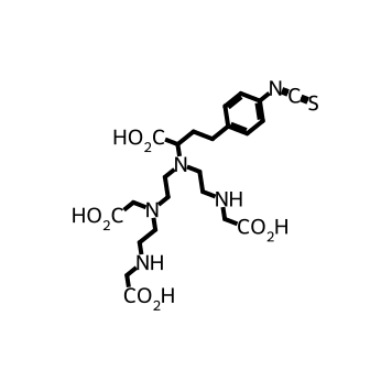 O=C(O)CNCCN(CCN(CCNCC(=O)O)C(CCc1ccc(N=C=S)cc1)C(=O)O)CC(=O)O